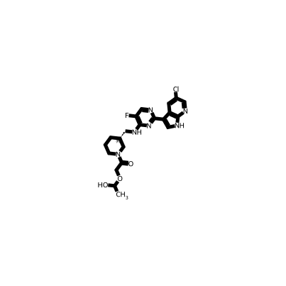 CC(O)OCC(=O)N1CCC[C@H](CNc2nc(-c3c[nH]c4ncc(Cl)cc34)ncc2F)C1